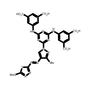 CSc1nnc(N=Nc2cn(-c3nc(Nc4cc(C(=O)O)cc(C(=O)O)c4)nc(Nc4cc(C(=O)O)cc(C(=O)O)c4)n3)nc2C(C)(C)C)s1